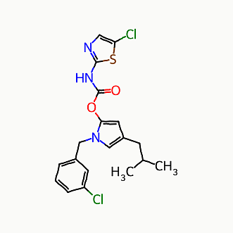 CC(C)Cc1cc(OC(=O)Nc2ncc(Cl)s2)n(Cc2cccc(Cl)c2)c1